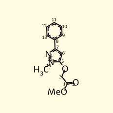 COC(=O)COc1cc(-c2ccccc2)nn1C